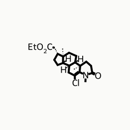 CCOC(=O)C[C@H]1CC[C@H]2[C@@H]3CC(Cl)=C4N(C)C(=O)CC[C@]4(C)[C@H]3CC[C@]12C